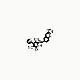 N#Cc1c(SCc2cccc(Cc3ncn[nH]3)c2)[nH]c(=O)c(C#N)c1-c1cccs1